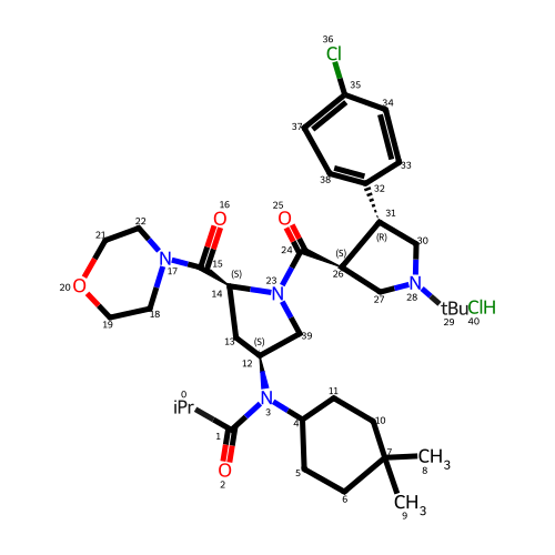 CC(C)C(=O)N(C1CCC(C)(C)CC1)[C@H]1C[C@@H](C(=O)N2CCOCC2)N(C(=O)[C@@H]2CN(C(C)(C)C)C[C@H]2c2ccc(Cl)cc2)C1.Cl